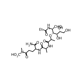 CCC(=O)N[C@@H](C=O)[C@@H](OC(C)C(=O)NC(C)C(=O)NC(CCC(=O)N(C)C(=O)O)C(N)=O)[C@H](O)[C@H](O)CO